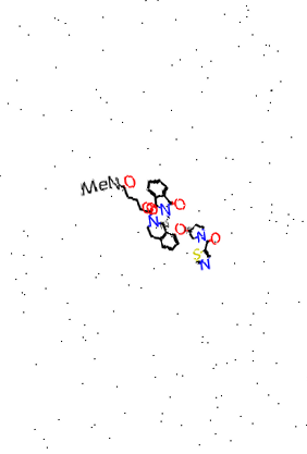 CNC(=O)CCCC(=O)N1CCc2cccc(O[C@H]3CCN(C(=O)c4cncs4)C3)c2[C@H]1CN1C(=O)c2ccccc2C1=O